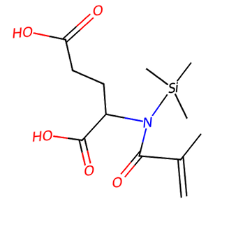 C=C(C)C(=O)N(C(CCC(=O)O)C(=O)O)[Si](C)(C)C